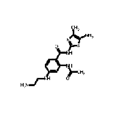 CC(=O)Nc1cc(NCCN)ccc1C(=O)Nc1nc(C)c(N)s1